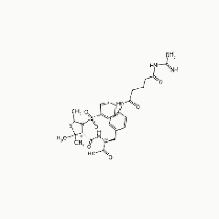 CC1SC(C)(C)[C@@H](C(=O)N[C@@H](Cc2ccc(NC(=O)CCCC(=O)NC(=N)N)cc2)C(=O)O)N1S(=O)(=O)c1ccccc1